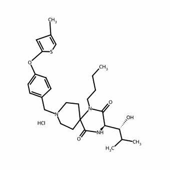 CCCCN1C(=O)[C@@H]([C@H](O)C(C)C)NC(=O)C12CCN(Cc1ccc(Oc3cc(C)cs3)cc1)CC2.Cl